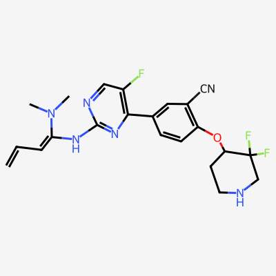 C=C/C=C(/Nc1ncc(F)c(-c2ccc(OC3CCNCC3(F)F)c(C#N)c2)n1)N(C)C